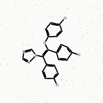 Clc1ccc(OC(=C(c2ccc(Cl)cc2)n2cncn2)c2ccc(Cl)cc2)cc1